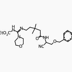 CCOC(=O)NC(=NCCC(C)(C)CC(=O)NC(C#N)COCc1ccccc1)N1CCOCC1